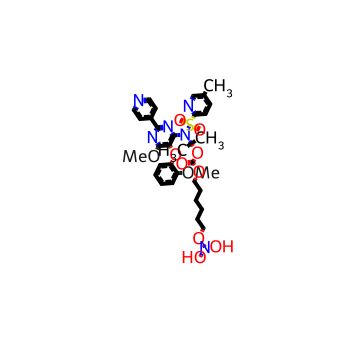 COc1ccccc1Oc1c(OC)nc(-c2ccncc2)nc1N(C(C)(C)OC(=O)OCCCCCCON(O)O)S(=O)(=O)c1ccc(C)cn1